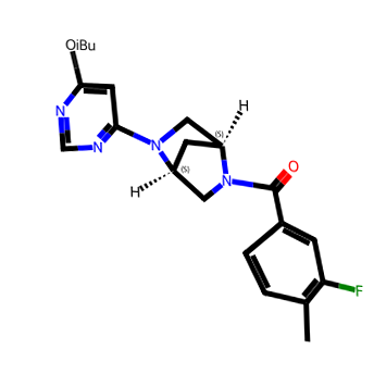 Cc1ccc(C(=O)N2C[C@@H]3C[C@H]2CN3c2cc(OCC(C)C)ncn2)cc1F